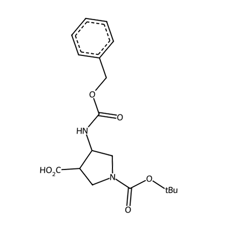 CC(C)(C)OC(=O)N1CC(NC(=O)OCc2ccccc2)C(C(=O)O)C1